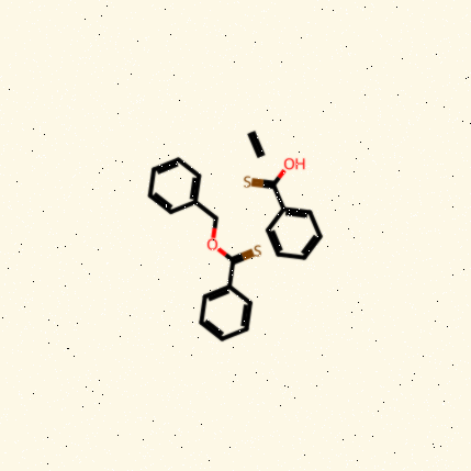 C=C.OC(=S)c1ccccc1.S=C(OCc1ccccc1)c1ccccc1